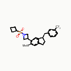 CNc1cc2c(cc1C1CN(S(=O)(=O)C3CCC3)C1)C(Cc1cccc(C(F)(F)F)c1)CC2